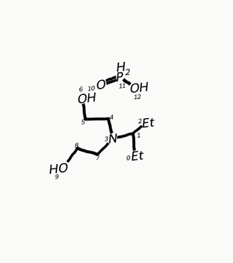 CCC(CC)N(CCO)CCO.O=[PH2]O